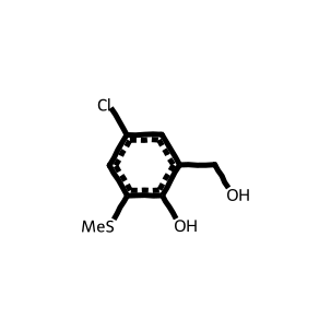 CSc1cc(Cl)cc(CO)c1O